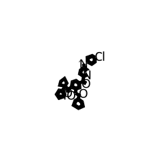 CN(c1ccc(Cl)cc1)c1ccc(C(=O)c2ccc(C(=O)C3(c4ccccc4)CCCC3)c(C(O)C(=O)c3ccccc3)c2)nc1